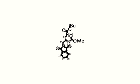 COC(=O)N[C@H](CNC(=O)OC(C)(C)C)CN1C(=O)c2ccccc2C1=O